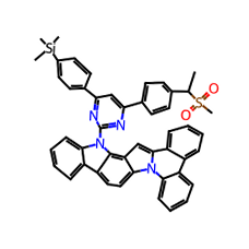 CC(c1ccc(-c2cc(-c3ccc([Si](C)(C)C)cc3)nc(-n3c4ccccc4c4ccc5c(cc6c7ccccc7c7ccccc7n65)c43)n2)cc1)S(C)(=O)=O